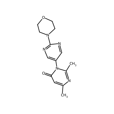 Cc1cc(=O)n(-c2cnc(N3CCOCC3)nc2)c(C)n1